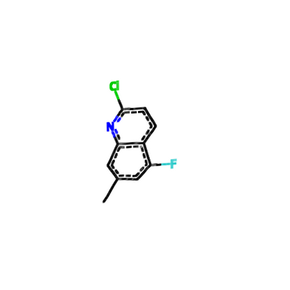 Cc1cc(F)c2ccc(Cl)nc2c1